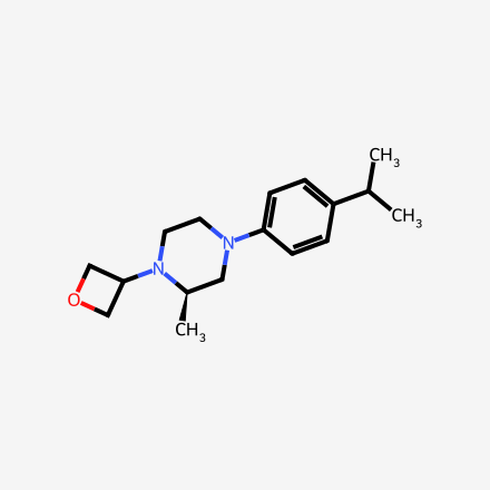 CC(C)c1ccc(N2CCN(C3COC3)[C@H](C)C2)cc1